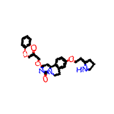 O=c1nc(OCC2COc3ccccc3O2)cc2n1CCc1cc(OCCC3CCCN3)ccc1-2